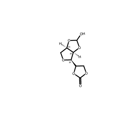 O=C1OCC([C@H]2OC[C@H]3OC(O)O[C@@H]23)O1